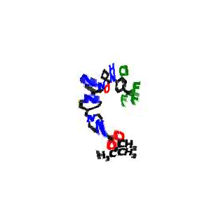 CC(C)(C)OC(=O)N1CCN(CC2CCN(c3cnn(C4(C(=O)Nc5ccc(C(F)(F)F)cc5Cl)CCC4)c3)CC2)CC1